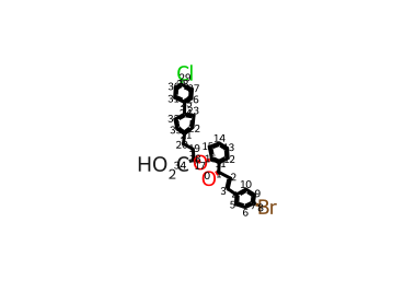 O=C(C=Cc1ccc(Br)cc1)c1ccccc1OC(CCc1ccc(-c2ccc(Cl)cc2)cc1)C(=O)O